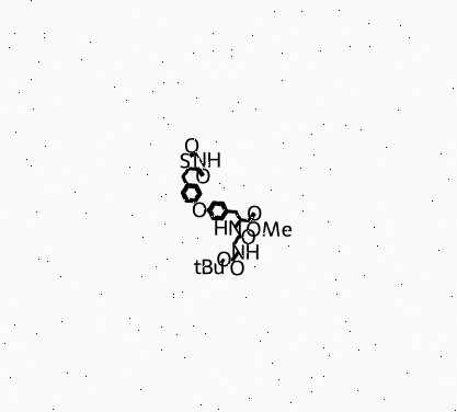 COC(=O)C(Cc1ccc(Oc2ccc(CC3SC(=O)NC3=O)cc2)cc1)NC(=O)CNC(=O)OC(C)(C)C